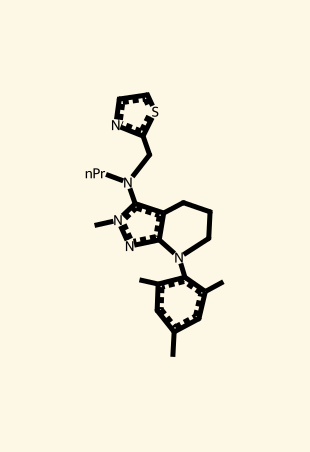 CCCN(Cc1nccs1)c1c2c(nn1C)N(c1c(C)cc(C)cc1C)CCC2